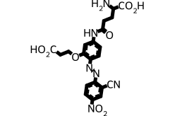 N#Cc1cc([N+](=O)[O-])ccc1N=Nc1ccc(NC(=O)CCC(N)C(=O)O)cc1OCCC(=O)O